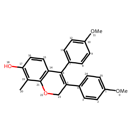 COc1ccc(C2=C(c3ccc(OC)cc3)c3ccc(O)c(C)c3OC2)cc1